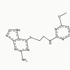 COc1ccnc(NCCSc2nc(N)nc3nc[nH]c23)n1